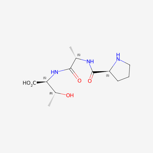 C[C@H](NC(=O)[C@@H]1CCCN1)C(=O)N[C@H](C(=O)O)[C@@H](C)O